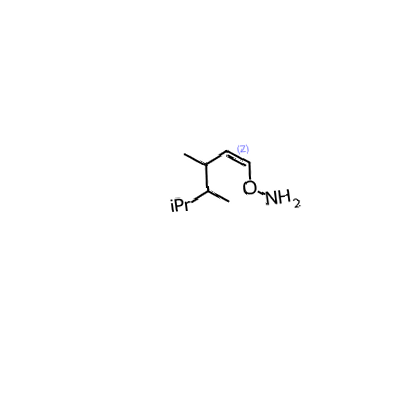 CC(C)C(C)C(C)/C=C\ON